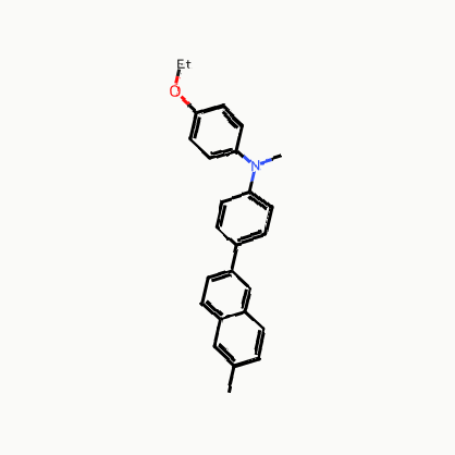 CCOc1ccc(N(C)c2ccc(-c3ccc4cc(C)ccc4c3)cc2)cc1